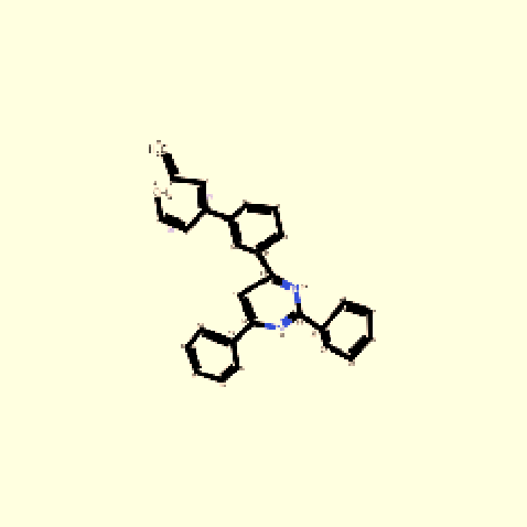 C=C/C=C(\C=C/C)c1cccc(-c2cc(-c3ccccc3)nc(-c3ccccc3)n2)c1